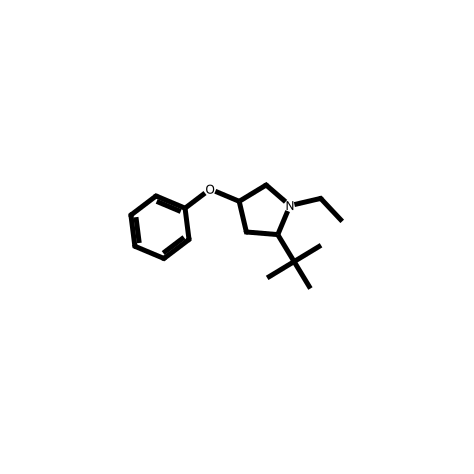 CCN1CC(Oc2ccccc2)CC1C(C)(C)C